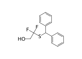 OCC(F)(F)SC(c1ccccc1)c1ccccc1